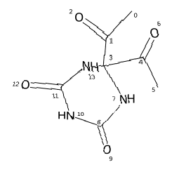 CC(=O)C1(C(C)=O)NC(=O)NC(=O)N1